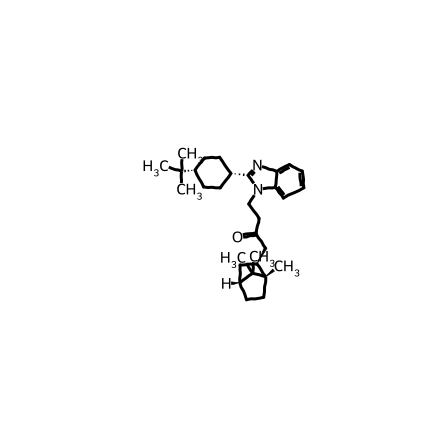 CC1(C)[C@@H]2CC[C@@]1(C)[C@H](CC(=O)CCn1c3ccccc3nc1[C@H]1CC[C@@H](C(C)(C)C)CC1)C2